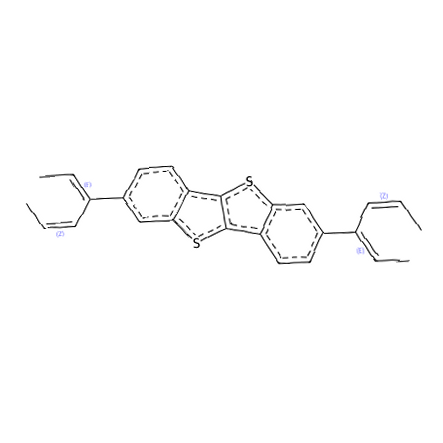 C/C=C\C(=C/C)c1ccc2c(c1)sc1c3ccc(C(/C=C\C)=C/C)cc3sc21